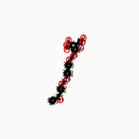 O=C1CC(C2CC3C(=O)OC(=O)C3c3cc(OCCOc4ccc(-c5ccc(OCCOc6ccc(/C=C/C(=O)c7ccccc7)cc6)cc5)cc4)ccc32)C(=O)O1